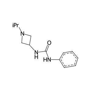 CC(C)N1CC(NC(=O)Nc2ccccc2)C1